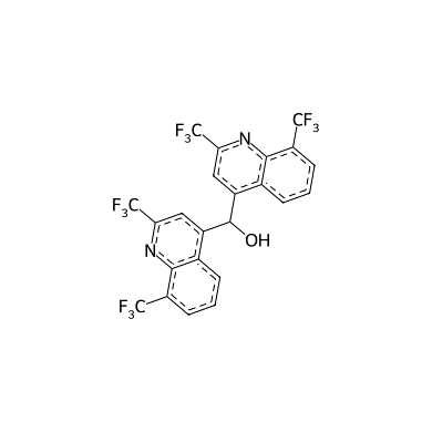 OC(c1cc(C(F)(F)F)nc2c(C(F)(F)F)cccc12)c1cc(C(F)(F)F)nc2c(C(F)(F)F)cccc12